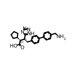 NCc1ccc(-c2ccc(C[C@H](c3nnn[nH]3)[C@@H](C(=O)O)C3CCCC3)cc2)cc1